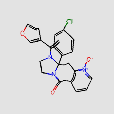 C=C(c1ccoc1)N1CCN2C(=O)c3ccc[n+]([O-])c3CC12c1ccc(Cl)cc1